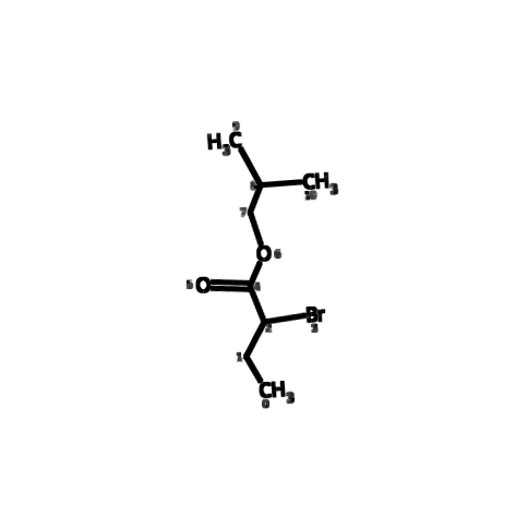 CCC(Br)C(=O)OCC(C)C